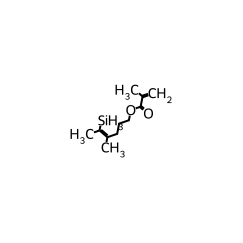 C=C(C)C(=O)OCCCC(C)=C(C)[SiH3]